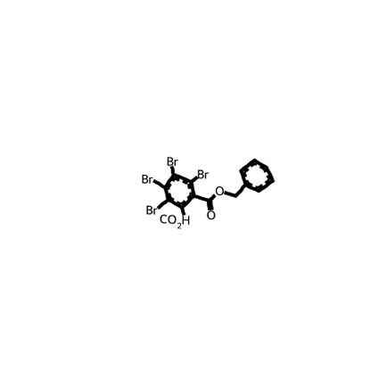 O=C(O)c1c(Br)c(Br)c(Br)c(Br)c1C(=O)OCc1ccccc1